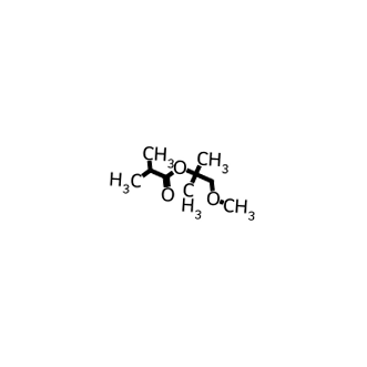 COCC(C)(C)OC(=O)C(C)C